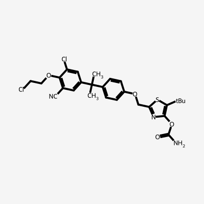 CC(C)(C)c1sc(COc2ccc(C(C)(C)c3cc(Cl)c(OCCCl)c(C#N)c3)cc2)nc1OC(N)=O